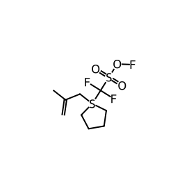 C=C(C)CS1(C(F)(F)S(=O)(=O)OF)CCCC1